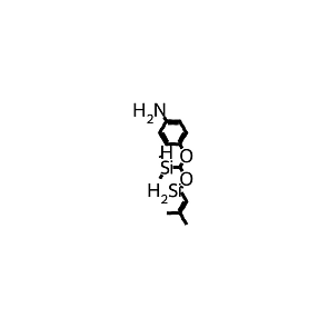 CC(C)=C[SiH2]OC(Oc1ccc(N)cc1)[SiH](C)C